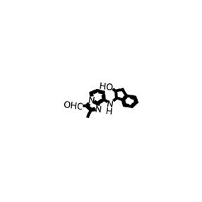 Cc1nc2c(NC3c4ccccc4CC3O)cccn2c1C=O